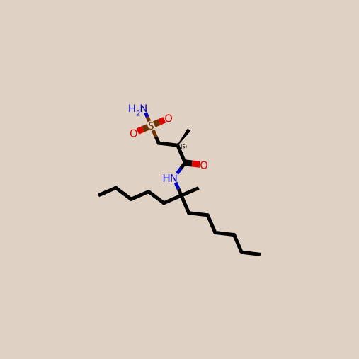 CCCCCCC(C)(CCCCC)NC(=O)[C@H](C)CS(N)(=O)=O